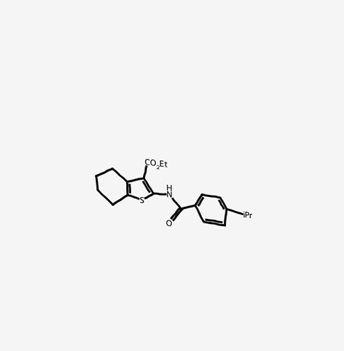 CCOC(=O)c1c(NC(=O)c2ccc(C(C)C)cc2)sc2c1CCCC2